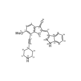 COc1ccc2c(c1C#CC1CCNCC1)OC(=Cc1n[nH]c3ccccc13)C2=O